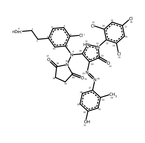 CCCCCCCCCCCCc1ccc(Cl)c(N(c2[nH]n(-c3c(Cl)cc(Cl)cc3Cl)c(=O)c2N=Nc2ccc(O)cc2C)N2C(=O)CCC2=O)c1